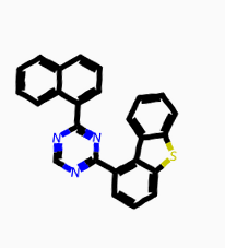 c1ccc2c(-c3ncnc(-c4cccc5sc6ccccc6c45)n3)cccc2c1